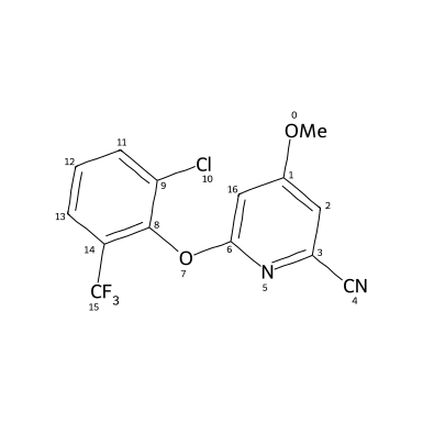 COc1cc(C#N)nc(Oc2c(Cl)cccc2C(F)(F)F)c1